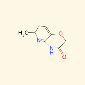 CC1CC=C2OCC(=O)NC2=N1